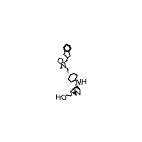 CN(CC[C@H]1CC[C@@H](Nc2cnn(CCO)c2)CC1)C(=O)CC1Cc2ccccc2C1